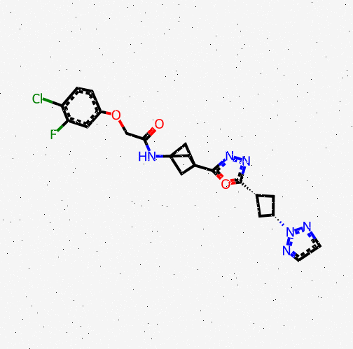 O=C(COc1ccc(Cl)c(F)c1)NC12CC(c3nnc([C@H]4C[C@@H](n5nccn5)C4)o3)(C1)C2